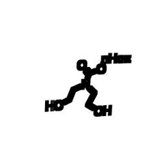 [CH2]CCCCCOC(=O)N(CCO)CCO